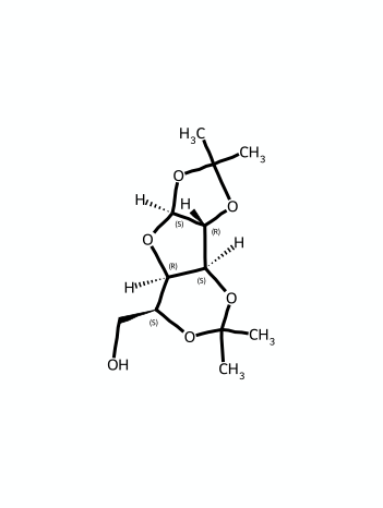 CC1(C)O[C@@H]2O[C@H]3[C@H](OC(C)(C)O[C@H]3CO)[C@H]2O1